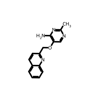 Cc1ncc(OCc2ccc3ccccc3n2)c(N)n1